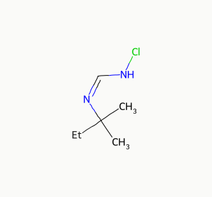 CCC(C)(C)/N=C\NCl